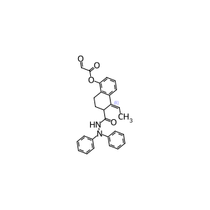 C/C=C1/c2cccc(OC(=O)C=O)c2CCC1C(=O)NN(c1ccccc1)c1ccccc1